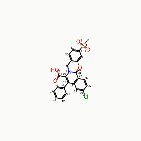 CS(=O)(=O)c1ccc(Cn2c(C(=O)O)c(-c3ccccc3)c3cc(Cl)ccc3c2=O)cc1